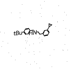 CC(C)(C)c1ccc(CNCCc2cccc(C3CC3)c2)cc1